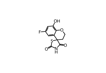 O=C1NC(=O)C2(CCOc3c(O)cc(F)cc32)S1